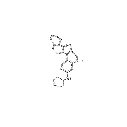 [I-].c1ccc2c(c1)ccc1n3c(ccc4cc(NC5CCCCC5)ccc43)c[n+]21